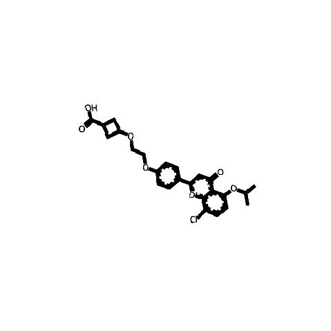 CC(C)Oc1ccc(Cl)c2oc(-c3ccc(OCCOC4CC(C(=O)O)C4)cc3)cc(=O)c12